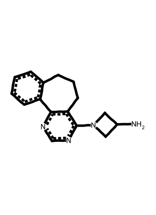 NC1CN(c2ncnc3c2CCCc2ccccc2-3)C1